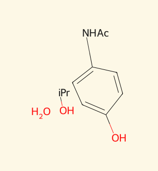 CC(=O)Nc1ccc(O)cc1.CC(C)O.O